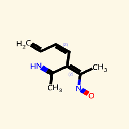 C=C/C=C\C(C(C)=N)=C(/C)N=O